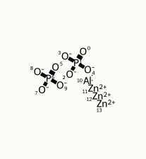 O=P([O-])([O-])[O-].O=P([O-])([O-])[O-].[Al].[Zn+2].[Zn+2].[Zn+2]